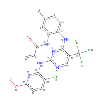 C=CC(=O)Nc1cc(C)ccc1Nc1nc(Nc2nc(OC)ccc2Cl)ncc1C(F)(F)F